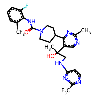 Cc1ncc(C(C)(O)CNc2ccnc(C(F)(F)F)n2)c(C2CCN(C(=O)Nc3c(F)cccc3C(F)(F)F)CC2)n1